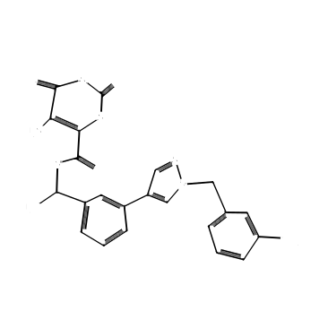 CC(NC(=O)c1[nH]c(=O)[nH]c(=O)c1N)c1cccc(-c2cnn(Cc3cccc(C(=O)O)c3)c2)c1